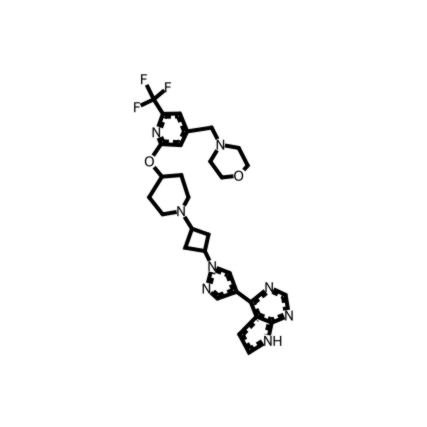 FC(F)(F)c1cc(CN2CCOCC2)cc(OC2CCN(C3CC(n4cc(-c5ncnc6[nH]ccc56)cn4)C3)CC2)n1